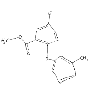 COC(=O)c1cc(Cl)ccc1Oc1cccc(C)c1